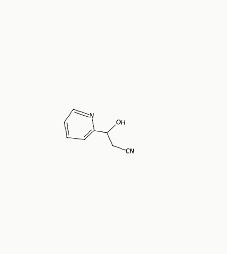 N#CCC(O)c1ccccn1